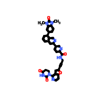 Cn1c(=O)n(C)c2cc(-c3cccc4cc(-c5ccc(C(=O)NCC#Cc6cc7c(N8CCC(=O)NC8=O)nccc7o6)nc5)ncc34)ccc21